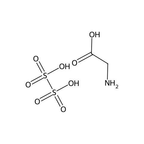 NCC(=O)O.O=S(=O)(O)S(=O)(=O)O